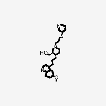 COc1ccc2nccc(CCC[C@@H]3CCN(CCCSc4cccnc4)C[C@@H]3CO)c2c1